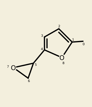 Cc1ccc(C2CO2)o1